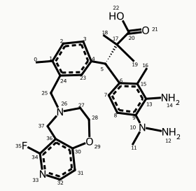 Cc1ccc([C@@H](c2ccc(N(C)N)c(N)c2C)C(C)(C)C(=O)O)cc1CN1CCOc2ccnc(F)c2C1